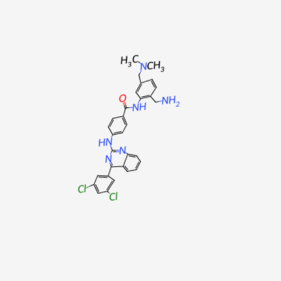 CN(C)Cc1ccc(CN)c(NC(=O)c2ccc(Nc3nc(-c4cc(Cl)cc(Cl)c4)c4ccccc4n3)cc2)c1